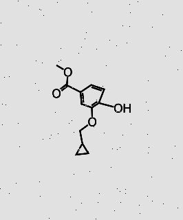 COC(=O)c1ccc(O)c(OCC2CC2)c1